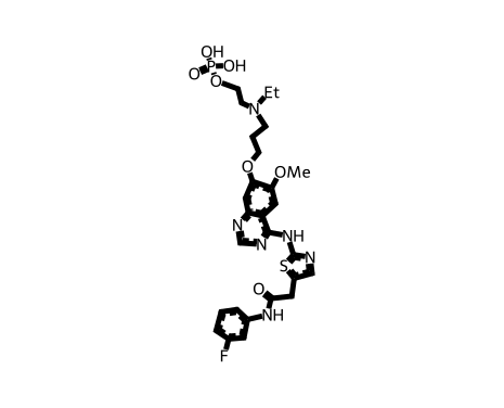 CCN(CCCOc1cc2ncnc(Nc3ncc(CC(=O)Nc4cccc(F)c4)s3)c2cc1OC)CCOP(=O)(O)O